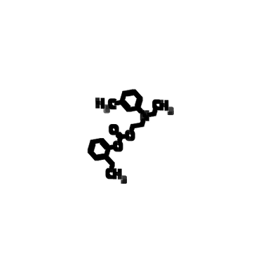 CCc1ccccc1OC(=O)OCCN(CC)c1cccc(C)c1